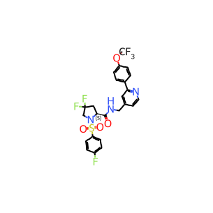 O=C(NCc1ccnc(-c2ccc(OC(F)(F)F)cc2)c1)[C@@H]1CC(F)(F)CN1S(=O)(=O)c1ccc(F)cc1